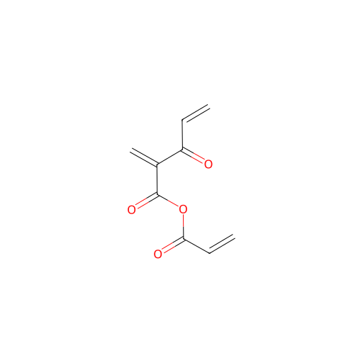 C=CC(=O)OC(=O)C(=C)C(=O)C=C